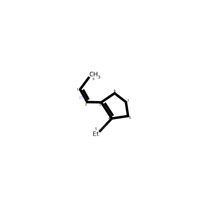 C/C=C\C1=C(CC)CCC1